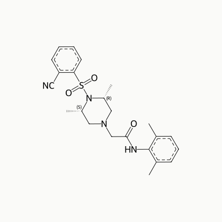 Cc1cccc(C)c1NC(=O)CN1C[C@@H](C)N(S(=O)(=O)c2ccccc2C#N)[C@@H](C)C1